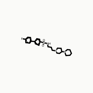 O=S(=O)(NCCCN1CCC(N2CCCCC2)CC1)c1ccc(-c2ccc(F)cc2)cc1